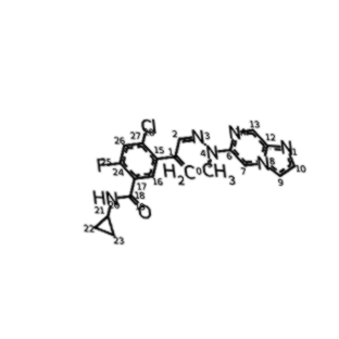 C=C(/C=N\N(C)c1cn2ccnc2cn1)c1cc(C(=O)NC2CC2)c(F)cc1Cl